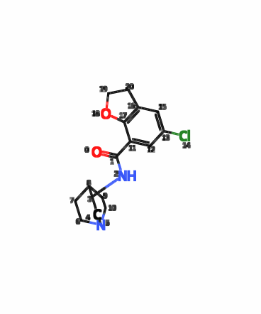 O=C(NC1CN2CCC1CC2)c1cc(Cl)cc2c1OCC2